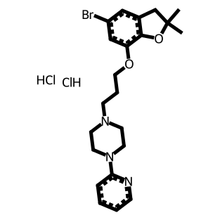 CC1(C)Cc2cc(Br)cc(OCCCN3CCN(c4ccccn4)CC3)c2O1.Cl.Cl